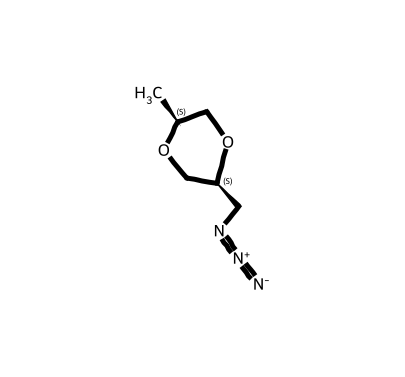 C[C@H]1CO[C@@H](CN=[N+]=[N-])CO1